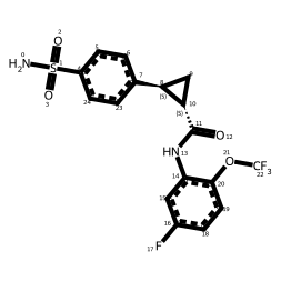 NS(=O)(=O)c1ccc([C@H]2C[C@@H]2C(=O)Nc2cc(F)ccc2OC(F)(F)F)cc1